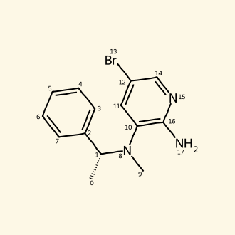 C[C@H](c1ccccc1)N(C)c1cc(Br)cnc1N